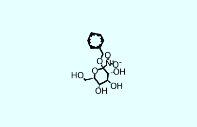 O=[N+]([O-])[C@@]1(OCc2ccccc2)O[C@H](CO)[C@@H](O)[C@H](O)[C@H]1O